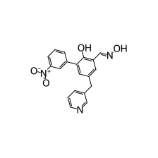 O=[N+]([O-])c1cccc(-c2cc(Cc3cccnc3)cc(/C=N/O)c2O)c1